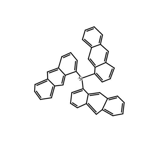 c1ccc2cc3c([Si](c4cccc5cc6ccccc6cc45)c4cccc5cc6ccccc6cc45)cccc3cc2c1